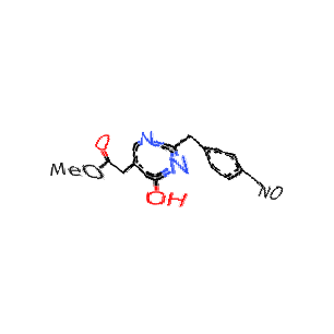 COC(=O)Cc1cnc(Cc2ccc(N=O)cc2)nc1O